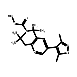 BC1(B)Cc2ncc(-c3c(C)noc3C)cc2C(B)(B)N1C(=O)OC(C)(C)C